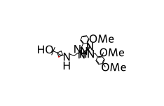 COc1ccc(CNc2nc3c(OC)cccc3c3nc(CCNC45CC(C(C)(C)O)(C4)C5)nn23)c(OC)c1